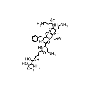 CC(=O)[C@H](CCN)NC(=O)[C@H](CCN)NC(=O)[C@H](CC(C)C)NC(=O)[C@@H](Cc1ccccc1)NC(=O)[C@H](CCN)NC(=O)CCCNC(O)[C@@H](N)[C@@H](C)O